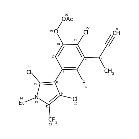 C#CC(C)c1c(F)c(-c2c(Cl)c(C(F)(F)F)n(CC)c2Cl)cc(OOC(C)=O)c1Cl